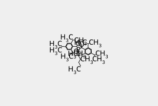 CCCCCCP(=O)(C(=O)c1c(C(C)C)cc(C(C)C)cc1C(C)C)C(=O)c1c(C(C)C)cc(C(C)C)cc1C(C)C